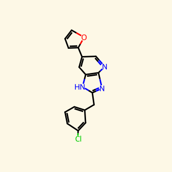 Clc1cccc(Cc2nc3ncc(-c4ccco4)cc3[nH]2)c1